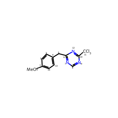 COc1ccc(Cc2ncnc(C(Cl)(Cl)Cl)n2)cc1